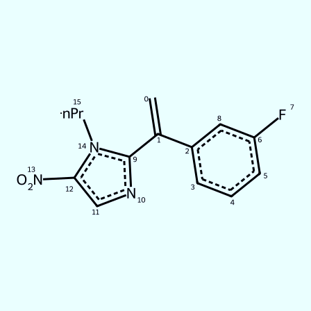 C=C(c1cccc(F)c1)c1ncc([N+](=O)[O-])n1[CH]CC